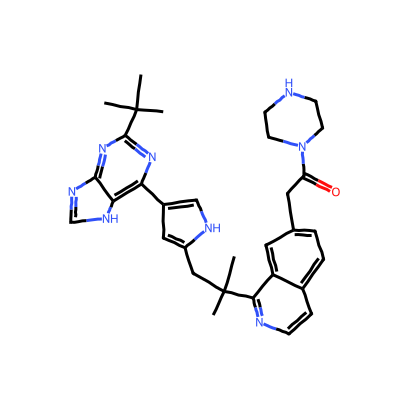 CC(C)(C)c1nc(-c2c[nH]c(CC(C)(C)c3nccc4ccc(CC(=O)N5CCNCC5)cc34)c2)c2[nH]cnc2n1